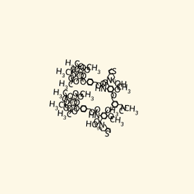 COC(=O)[C@H]1O[C@@H](Oc2ccc(COC(=O)Nc3cc(OCc4cc(COc5cc(NC(=O)OCc6ccc(O[C@@H]7O[C@H](C(=O)OC)[C@@H](OC(C)=O)[C@H](OC(C)=O)C7OC(C)=O)cc6)c(C(=O)N6Cc7ccsc7C[C@@H]6CO)cc5OC)cc(CN(C)C)c4)c(OC)cc3C(=O)N3Cc4ccsc4C[C@H]3CO)cc2)C(OC(C)=O)[C@@H](OC(C)=O)[C@@H]1OC(C)=O